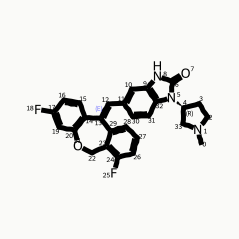 CN1CC[C@@H](n2c(=O)[nH]c3cc(/C=C4/c5ccc(F)cc5OCc5c(F)cccc54)ccc32)C1